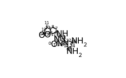 COc1nc(Nc2ccc3c(C)cc(=O)oc3c2)nc(N2C[C@H](N)C[C@H](N)C2)n1